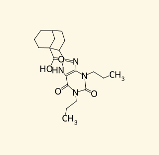 CCCn1c(=O)c2[nH]c(C3CCC4CCCC3(C(=O)O)C4)nc2n(CCC)c1=O